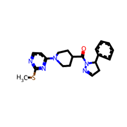 CSc1nccc(N2CCC(C(=O)N3N=CCC3c3ccccc3)CC2)n1